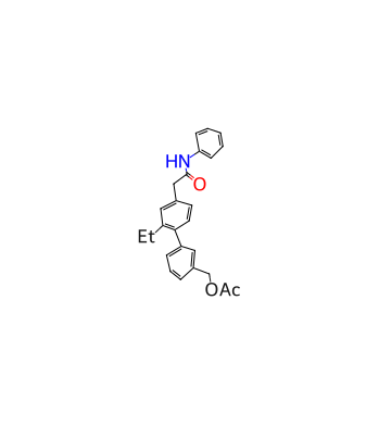 CCc1cc(CC(=O)Nc2ccccc2)ccc1-c1cccc(COC(C)=O)c1